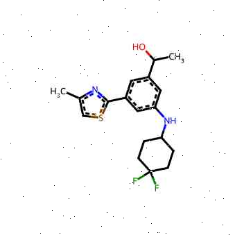 Cc1csc(-c2cc(NC3CCC(F)(F)CC3)cc(C(C)O)c2)n1